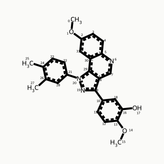 COc1ccc2ncc3c(-c4ccc(OC)c(O)c4)nn(-c4ccc(C)c(C)c4)c3c2c1